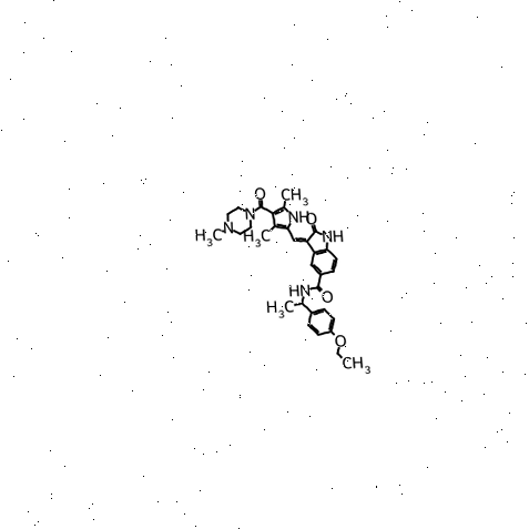 CCOc1ccc(C(C)NC(=O)c2ccc3c(c2)C(=Cc2[nH]c(C)c(C(=O)N4CCN(C)CC4)c2C)C(=O)N3)cc1